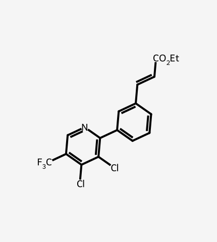 CCOC(=O)C=Cc1cccc(-c2ncc(C(F)(F)F)c(Cl)c2Cl)c1